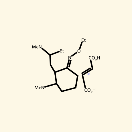 CCON=C1CCCC(NC)C1CC(CC)NC.O=C(O)/C=C/C(=O)O